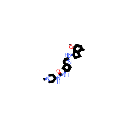 COc1ccc(C)c2c1C(Nc1ccc3cc(NC(=O)NC4CCN(C)CC4)ccc3n1)CC2